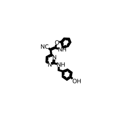 N#CC(=C1Nc2ccccc2O1)c1ccnc(NCc2ccc(O)cc2)n1